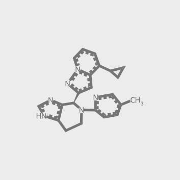 Cc1ccc(N2CCc3[nH]cnc3[C@H]2c2cc3c(C4CC4)cccn3n2)nc1